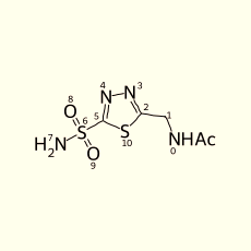 CC(=O)NCc1nnc(S(N)(=O)=O)s1